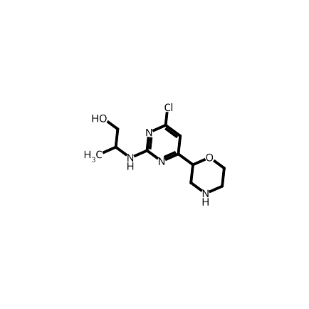 CC(CO)Nc1nc(Cl)cc(C2CNCCO2)n1